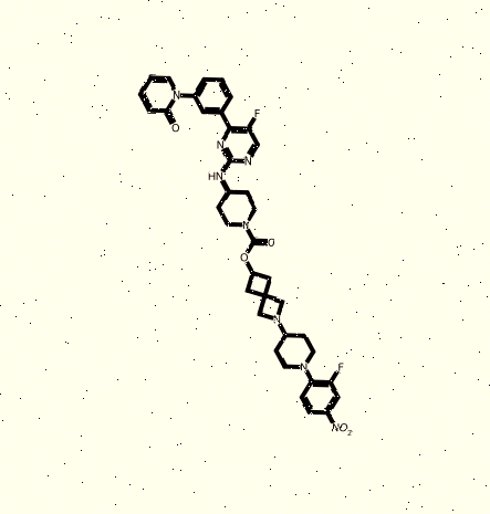 O=C(OC1CC2(C1)CN(C1CCN(c3ccc([N+](=O)[O-])cc3F)CC1)C2)N1CCC(Nc2ncc(F)c(-c3cccc(-n4ccccc4=O)c3)n2)CC1